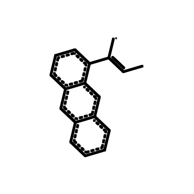 [CH2]C(=CC)c1cccc2cc3ccccc3cc12